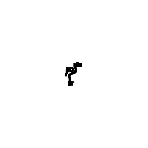 CCCCCCBr.C[N+](=O)[O-]